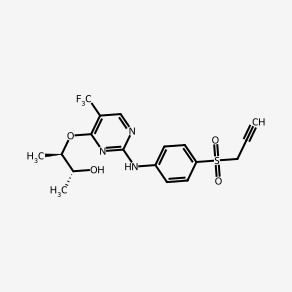 C#CCS(=O)(=O)c1ccc(Nc2ncc(C(F)(F)F)c(O[C@H](C)[C@@H](C)O)n2)cc1